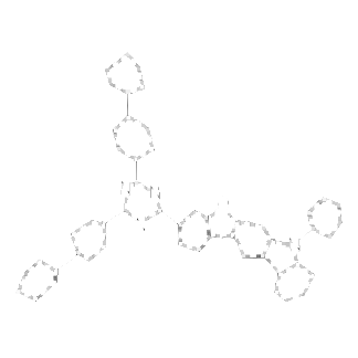 c1ccc(-c2ccc(-c3nc(-c4ccc(-c5ccccc5)cc4)nc(-c4ccc5c(c4)oc4cc6c(cc45)c4ccccc4n6-c4ccccc4)n3)cc2)cc1